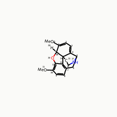 COC1=CC=C2C3Cc4ccc(OC)c5c4[C@]2(CCN3)[C@@H]1O5